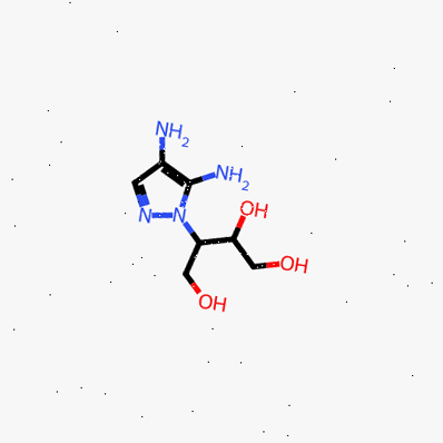 Nc1cnn(C(CO)C(O)CO)c1N